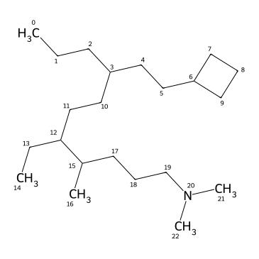 CCCC(CCC1CCC1)CCC(CC)C(C)CCCN(C)C